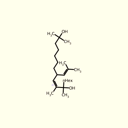 CCCCCCC(C)(O)/C(C)=C\C(C=C(C)C)CCCCCC(C)(C)O